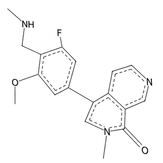 CNCc1c(F)cc(-c2cn(C)c(=O)c3cnccc23)cc1OC